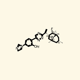 C=C(c1ncc(-c2ccc(-n3ccnc3)cc2O)nn1)[C@H]1C[C@]2(C)C[C@@H](C)C[C@@](C)(N2)[C@@H]1F